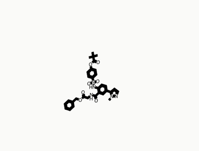 Cn1nccc1-c1ccc(NS(=O)(=O)c2ccc(OC(=O)C(C)(C)C)cc2)c(C(=O)NCC(=O)OCc2ccccc2)c1